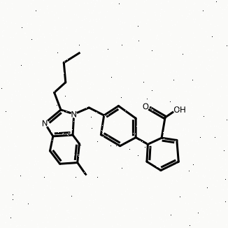 CCCCc1nc2ccc(C)cc2n1Cc1ccc(-c2ccccc2C(=O)O)cc1